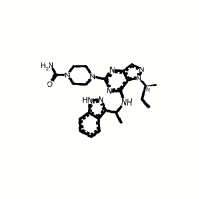 CC[C@H](C)n1ncc2nc(N3CCN(C(N)=O)CC3)nc(NC(C)c3n[nH]c4ccccc34)c21